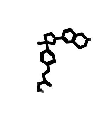 COC(=O)CCc1ccc([N+]2([O-])CCN(c3ccc4c(c3)CCNC4)C2)cc1